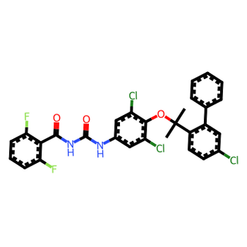 CC(C)(Oc1c(Cl)cc(NC(=O)NC(=O)c2c(F)cccc2F)cc1Cl)c1ccc(Cl)cc1-c1ccccc1